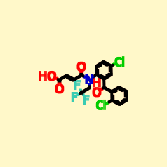 O=C(O)C=CC(=O)N(CC(F)(F)F)c1ccc(Cl)cc1C(O)c1ccccc1Cl